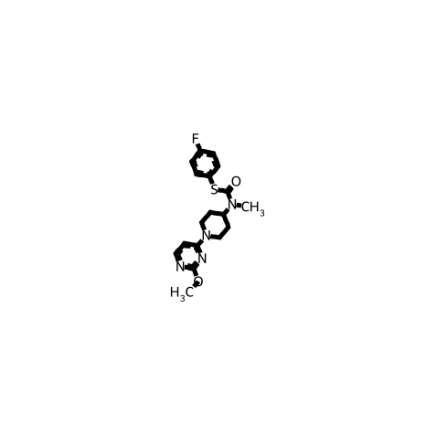 COc1nccc(N2CCC(N(C)C(=O)Sc3ccc(F)cc3)CC2)n1